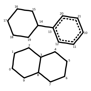 C1CCC2CCCCC2C1.c1ccc(C2CCCCC2)cc1